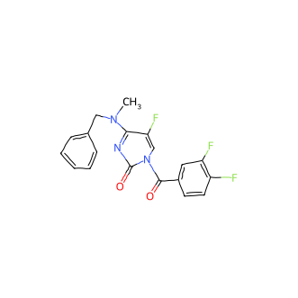 CN(Cc1ccccc1)c1nc(=O)n(C(=O)c2ccc(F)c(F)c2)cc1F